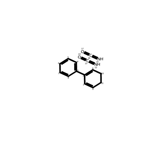 C1=CC(c2ccccc2)=CCC1.N=C=O.N=C=O